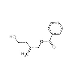 C=C(CCO)COC(=O)c1ccccc1